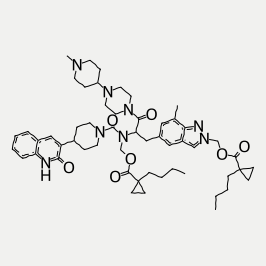 CCCCC1(C(=O)OCN(C(=O)N2CCC(c3cc4ccccc4[nH]c3=O)CC2)C(Cc2cc(C)c3nn(COC(=O)C4(CCCC)CC4)cc3c2)C(=O)N2CCN(C3CCN(C)CC3)CC2)CC1